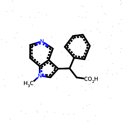 Cn1cc(C(CC(=O)O)c2ccccc2)c2cnccc21